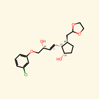 O[C@H](/C=C/[C@@H]1[C@@H](CC2OCCO2)CC[C@@H]1O)COc1cccc(Cl)c1